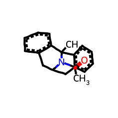 CC(=O)N1C2Cc3ccccc3C1(C)c1ccccc1C2